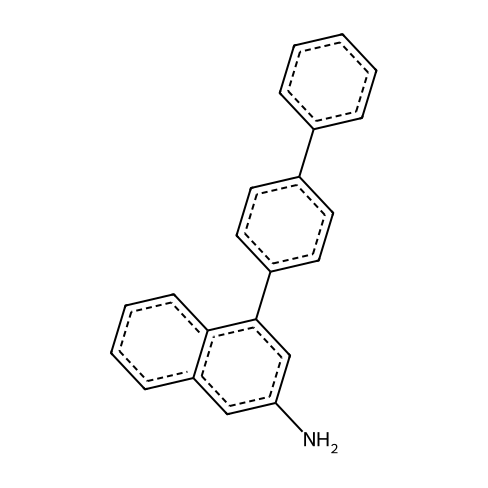 Nc1cc(-c2ccc(-c3ccccc3)cc2)c2ccccc2c1